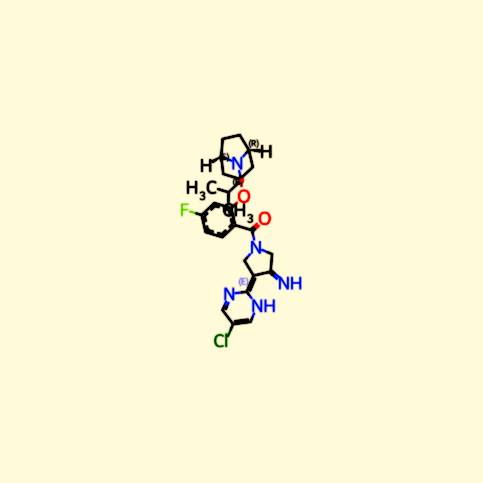 CC(C)CN1[C@@H]2CC[C@H]1C[C@@H](Oc1cc(F)ccc1C(=O)N1CC(=N)/C(=C3/N=CC(Cl)=CN3)C1)C2